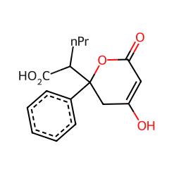 CCCC(C(=O)O)C1(c2ccccc2)CC(O)=CC(=O)O1